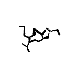 CCCc1cc2nn(CC)cc2cc1C(C)C